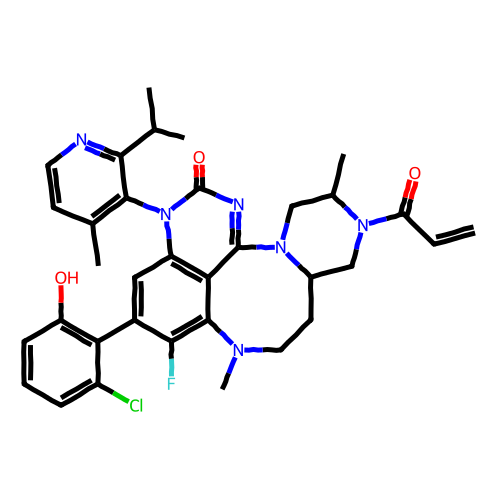 C=CC(=O)N1CC2CCN(C)c3c(F)c(-c4c(O)cccc4Cl)cc4c3c(nc(=O)n4-c3c(C)ccnc3C(C)C)N2CC1C